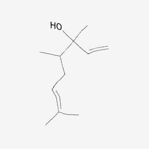 C=CC(C)(O)C(C)CC=C(C)C